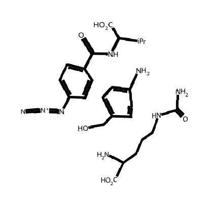 CC(C)C(NC(=O)c1ccc(N=[N+]=[N-])cc1)C(=O)O.NC(=O)NCCCC(N)C(=O)O.Nc1ccc(CO)cc1